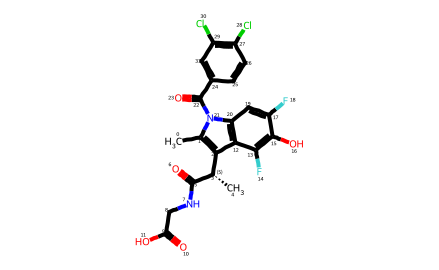 Cc1c([C@H](C)C(=O)NCC(=O)O)c2c(F)c(O)c(F)cc2n1C(=O)c1ccc(Cl)c(Cl)c1